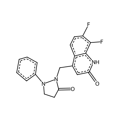 O=C1CCN(c2ccccc2)N1Cc1cc(=O)[nH]c2c(F)c(F)ccc12